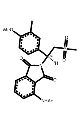 [2H][C@@](CS(C)(=O)=O)(c1ccc(OC)c(C)c1)N1C(=O)c2cccc(NC(C)=O)c2C1=O